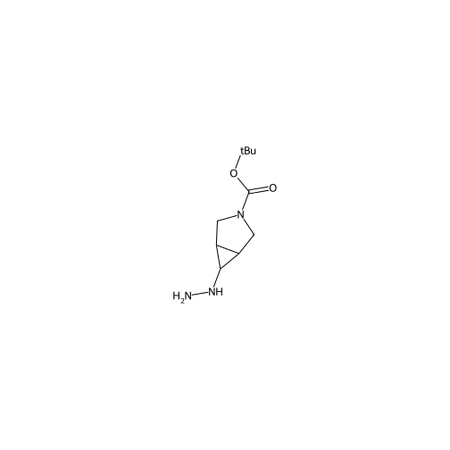 CC(C)(C)OC(=O)N1CC2C(C1)C2NN